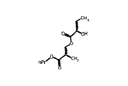 CC=C(O)C(=O)OC=C(C)C(=O)OCCC